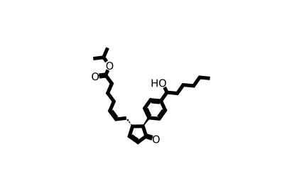 CCCCCC(O)c1ccc([C@H]2C(=O)C=C[C@@H]2C/C=C\CCCC(=O)OC(C)C)cc1